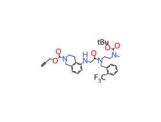 C#CCOC(=O)N1CCc2c(cccc2NCC(=O)N(CCN(C)C(=O)OC(C)(C)C)Cc2ccccc2C(F)(F)F)C1